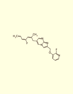 C=C/C=C(F)\C=C(\C)Cc1cnc2nc(COc3cccnc3F)cn2c1